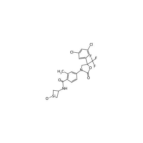 Cc1cc(N2CC(c3cc(Cl)cc(Cl)c3)(C(F)(F)F)OC2=O)ccc1C(=O)NC1C[S+]([O-])C1